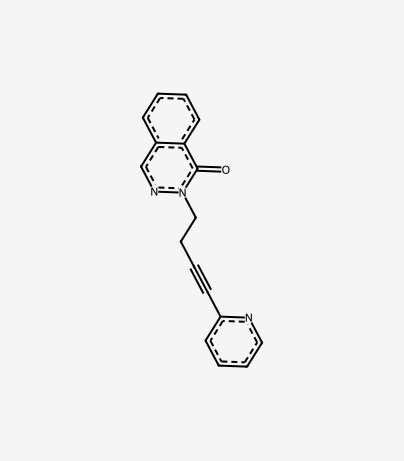 O=c1c2ccccc2cnn1CCC#Cc1ccccn1